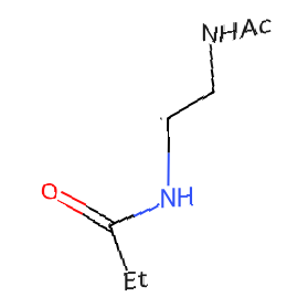 CCC(=O)N[CH]CNC(C)=O